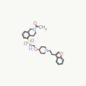 CC(=O)N1CCc2c(cccc2S(=O)(=O)NCOC2CCN(CCc3coc4ccccc34)CC2)C1